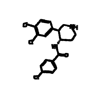 O=C(N[C@H]1CCNCC1c1ccc(Cl)c(Cl)c1)c1ccc(Cl)cc1